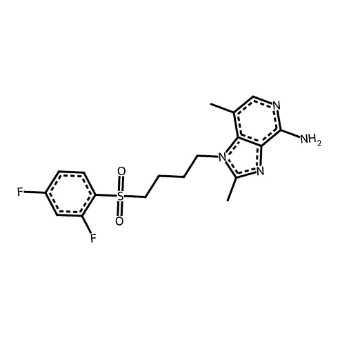 Cc1cnc(N)c2nc(C)n(CCCCS(=O)(=O)c3ccc(F)cc3F)c12